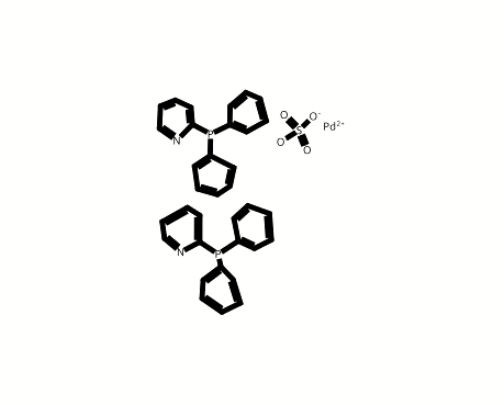 O=S(=O)([O-])[O-].[Pd+2].c1ccc(P(c2ccccc2)c2ccccn2)cc1.c1ccc(P(c2ccccc2)c2ccccn2)cc1